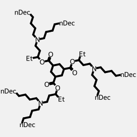 CCCCCCCCCCCCCCN(CCCCCCCCCCCCCC)CCC(CC)OC(=O)C1CC(C(=O)OC(CC)CCN(CCCCCCCCCCCCCC)CCCCCCCCCCCCCC)CC(C(=O)OC(CC)CCN(CCCCCCCCCCCCCC)CCCCCCCCCCCCCC)C1